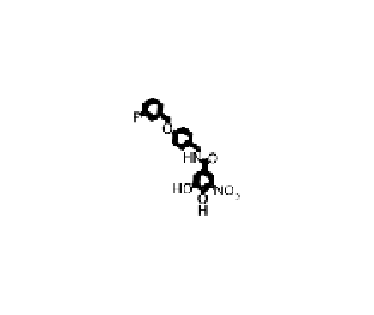 O=C(NCc1ccc(OCc2cccc(F)c2)cc1)c1cc(O)c(O)c([N+](=O)[O-])c1